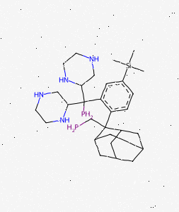 C[Si](C)(C)c1ccc(C2(CP)C3CC4CC(C3)CC2C4)c(C(P)(C2CNCCN2)C2CNCCN2)c1